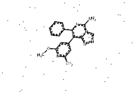 COc1cc(-c2c(-c3ccccc3)nc(N)n3cnnc23)cc(C)n1